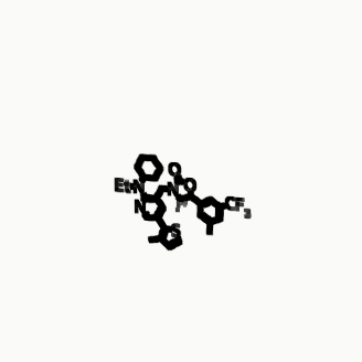 CCN(c1ncc(-c2sccc2C)cc1CN1C(=O)OC(c2cc(C)cc(C(F)(F)F)c2)[C@@H]1C)C1CCCCC1